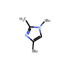 Cc1nc(C(C)(C)C)cn1C(C)(C)C